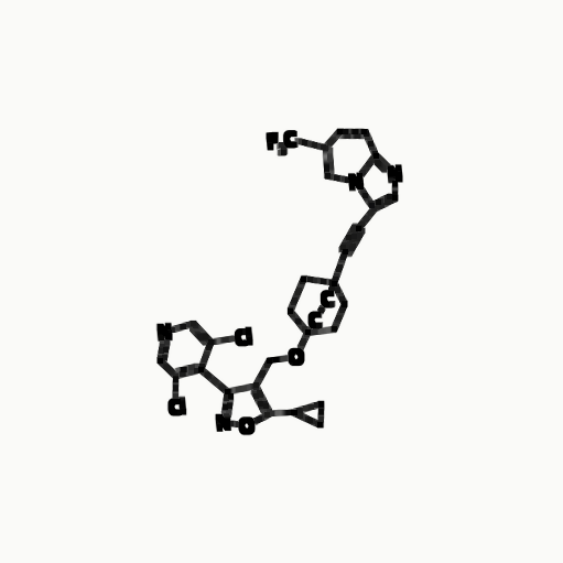 FC(F)(F)c1ccc2ncc(C#CC34CCC(OCc5c(-c6c(Cl)cncc6Cl)noc5C5CC5)(CC3)CC4)n2c1